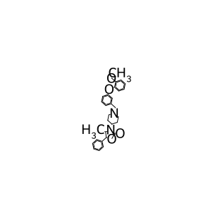 COc1ccccc1Oc1cccc(CN2CCC(N3C(=O)OC(c4ccccc4)C3C)CC2)c1